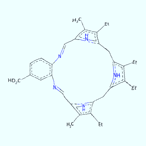 CCc1c2[nH]c(c1C)/C=N/c1ccc(C(=O)O)cc1/N=C/c1[nH]c(c(CC)c1C)Cc1[nH]c(c(CC)c1CC)C2